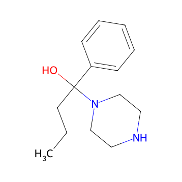 CCCC(O)(c1ccccc1)N1CCNCC1